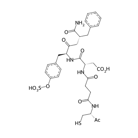 CC(=O)[C@H](CS)NC(=O)CCC(=O)N[C@@H](CC(=O)O)C(=O)N[C@@H](Cc1ccc(OS(=O)(=O)O)cc1)C(=O)C[C@@H](Cc1ccccc1)C(N)=O